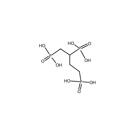 O=P(O)(O)CCC(CP(=O)(O)O)P(=O)(O)O